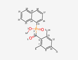 COP(=O)(C(=O)c1c(C)cc(C)cc1C)c1cccc2ccccc12